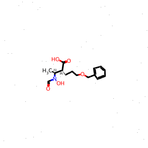 C[C@@H]([C@@H](CCCOCc1ccccc1)C(=O)O)N(O)C=O